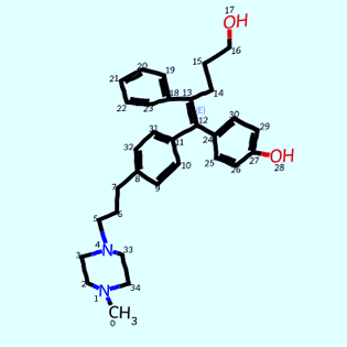 CN1CCN(CCCc2ccc(/C(=C(/CCCO)c3ccccc3)c3ccc(O)cc3)cc2)CC1